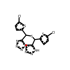 Clc1ccc(C(SC(c2nnn[nH]2)c2ccc(Cl)s2)c2nnn[nH]2)s1